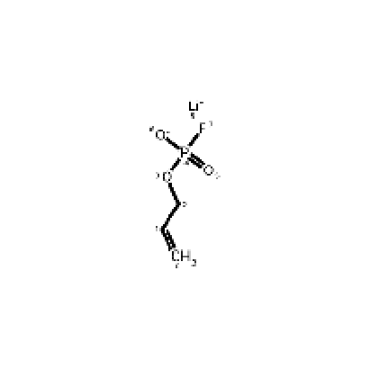 C=CCOP(=O)([O-])F.[Li+]